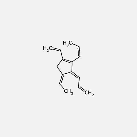 C=C/C=C1/C(/C=C\C)=C(C=C)C/C1=C/C